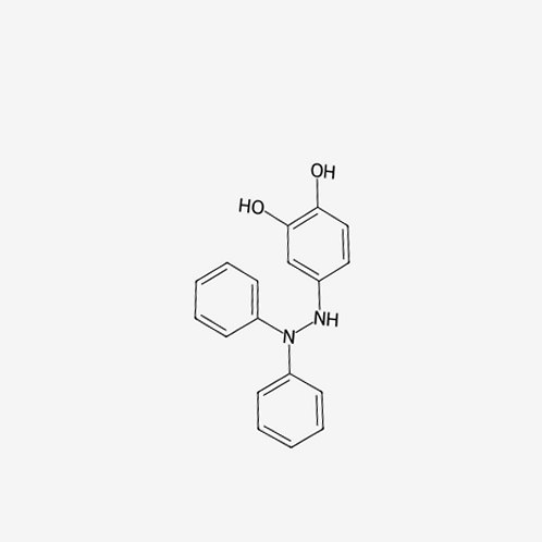 Oc1ccc(NN(c2ccccc2)c2ccccc2)cc1O